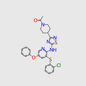 CC(=O)N1CCC(c2nsc(Nc3ncc(Oc4ccccc4)cc3Sc3ccccc3Cl)n2)CC1